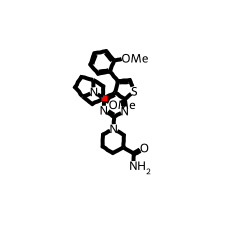 COc1ccccc1-c1csc2nc(N3CCCC(C(N)=O)C3)nc(N3C4CCC3CC(OC)C4)c12